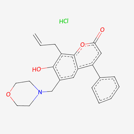 C=CCc1c(O)c(CN2CCOCC2)cc2c(-c3ccccc3)cc(=O)oc12.Cl